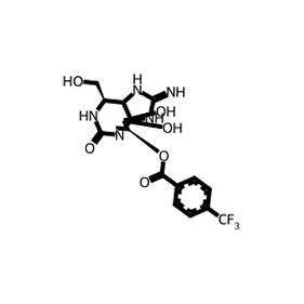 N=C1NC2[C@H](CO)NC(=O)N3C[C@H](OC(=O)c4ccc(C(F)(F)F)cc4)C(O)(O)C23N1